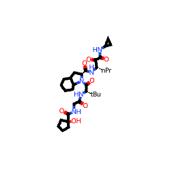 CCC[C@H](NC(=O)[C@@H]1CC2CCCCC2N1C(=O)[C@@H](NC(=O)CNC(=O)C1(O)CCCC1)C(C)(C)C)C(=O)C(=O)NC1CC1